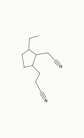 [CH2]CC1C[CH]C(CCC#N)C1CC#N